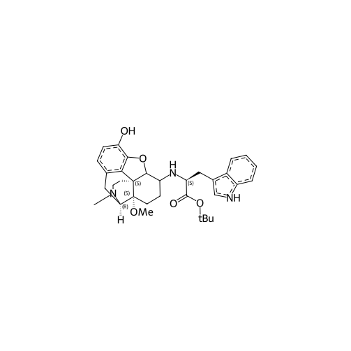 CO[C@@]12CCC(N[C@@H](Cc3c[nH]c4ccccc34)C(=O)OC(C)(C)C)C3Oc4c(O)ccc5c4[C@@]31CCN(C)[C@@H]2C5